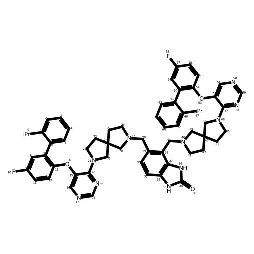 CC(C)c1ccccc1-c1cc(F)ccc1Oc1cncnc1N1CCC2(CCN(Cc3ccc4[nH]c(=O)[nH]c4c3CN3CCC4(CCN(c5ncncc5Oc5ccc(F)cc5-c5ccccc5C(C)C)C4)C3)C2)C1